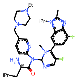 CCN1CCN(Cc2ccc(N(C(=O)[C@H](N)CC(C)C)C3N=CC(F)=C(c4cc(F)c5nc(C)n(C(C)C)c5c4)N3C)nc2)CC1